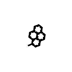 [C]c1ccc2ccc3cccc4ccc1c2c34